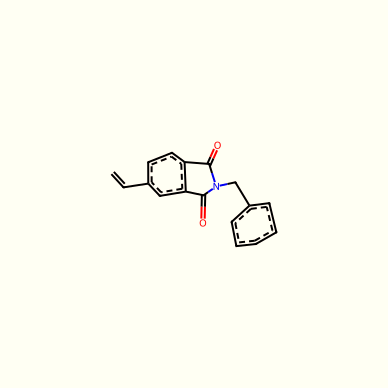 C=Cc1ccc2c(c1)C(=O)N(Cc1ccccc1)C2=O